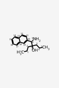 CCCC(O)(CCC)[C@H](N)c1ccc2ccccc2c1